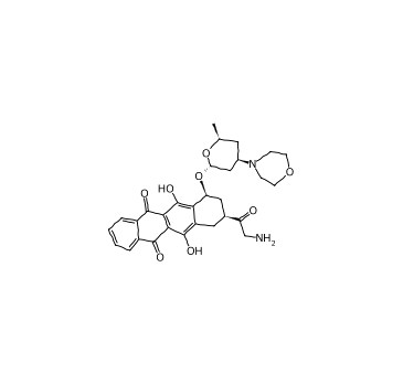 C[C@H]1C[C@@H](N2CCOCC2)C[C@H](O[C@H]2C[C@@H](C(=O)CN)Cc3c(O)c4c(c(O)c32)C(=O)c2ccccc2C4=O)O1